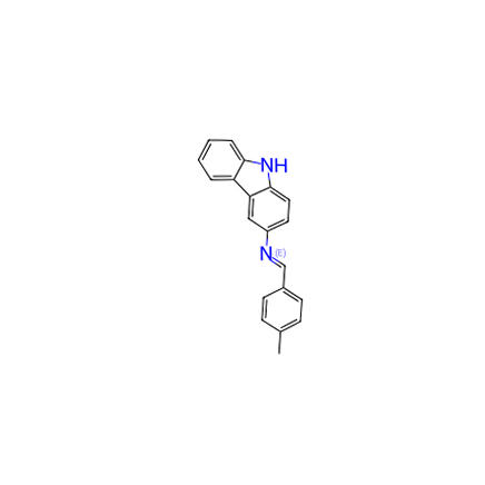 Cc1ccc(/C=N/c2ccc3[nH]c4ccccc4c3c2)cc1